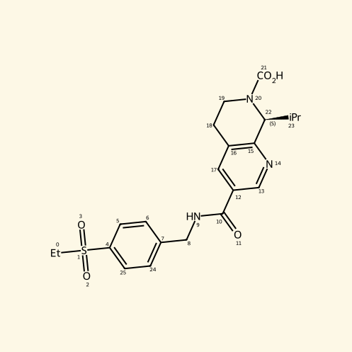 CCS(=O)(=O)c1ccc(CNC(=O)c2cnc3c(c2)CCN(C(=O)O)[C@H]3C(C)C)cc1